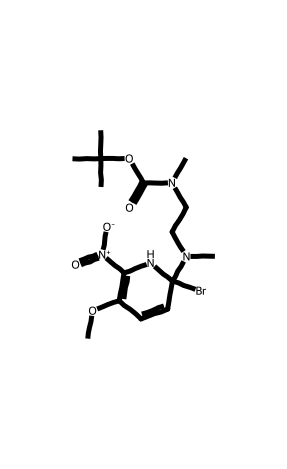 COC1=C([N+](=O)[O-])NC(Br)(N(C)CCN(C)C(=O)OC(C)(C)C)C=C1